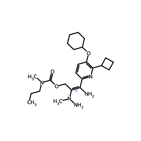 CCCN(C)C(=O)OC/C(=C(/N)c1ccc(OC2CCCCC2)c(C2CCC2)n1)N(C)N